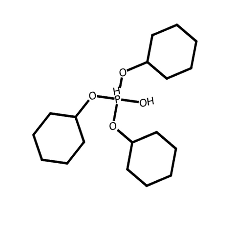 O[PH](OC1CCCCC1)(OC1CCCCC1)OC1CCCCC1